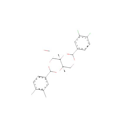 Cc1ccc(C2O[C@H]3COC(c4ccc(Cl)c(Cl)c4)O[C@H]3[C@@H](CO)O2)cc1C